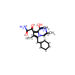 C=C(O)c1c(C(=O)C(N)=O)c(CCC)c(CC2CCCCC2)n1/C=C(/C)N